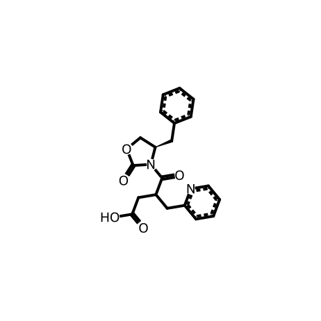 O=C(O)CC(Cc1ccccn1)C(=O)N1C(=O)OC[C@H]1Cc1ccccc1